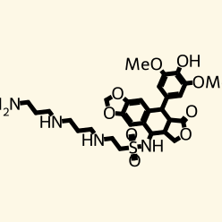 COc1cc(C2c3cc4c(cc3C(NS(=O)(=O)CCNCCCNCCCN)C3COC(=O)C23)OCO4)cc(OC)c1O